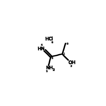 CC(O)C(=N)N.Cl